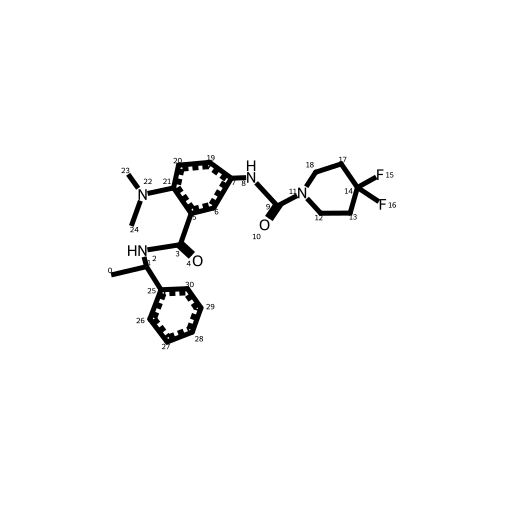 CC(NC(=O)c1cc(NC(=O)N2CCC(F)(F)CC2)ccc1N(C)C)c1ccccc1